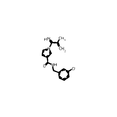 C=C(C)C(=N)n1ccc(C(=O)NCc2cccc(Cl)c2)c1